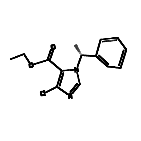 CCOC(=O)c1c(Cl)ncn1[C@H](C)c1ccccc1